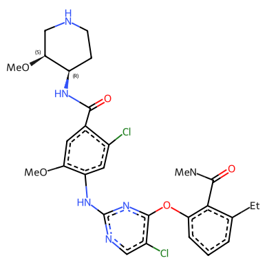 CCc1cccc(Oc2nc(Nc3cc(Cl)c(C(=O)N[C@@H]4CCNC[C@@H]4OC)cc3OC)ncc2Cl)c1C(=O)NC